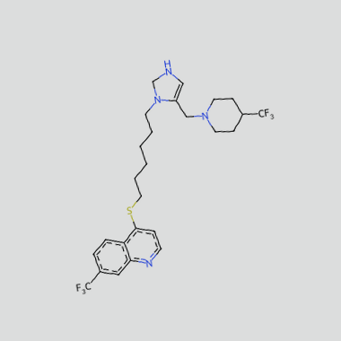 FC(F)(F)c1ccc2c(SCCCCCCN3CNC=C3CN3CCC(C(F)(F)F)CC3)ccnc2c1